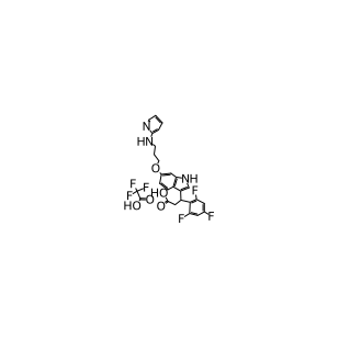 O=C(O)C(F)(F)F.O=C(O)CC(c1c(F)cc(F)cc1F)c1c[nH]c2cc(OCCCNc3ccccn3)ccc12